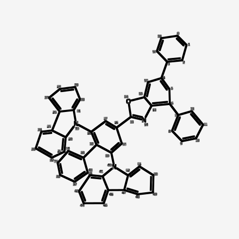 c1ccc(-c2cc(-c3ccccc3)c3nc(-c4cc(-n5c6ccccc6c6ccccc65)c(-c5ccccc5)c(-n5c6ccccc6c6ccccc65)c4)oc3c2)cc1